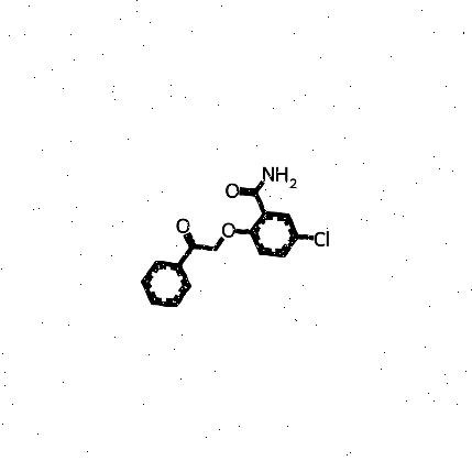 NC(=O)c1cc(Cl)ccc1OCC(=O)c1ccccc1